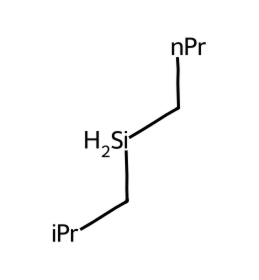 CCCC[SiH2]CC(C)C